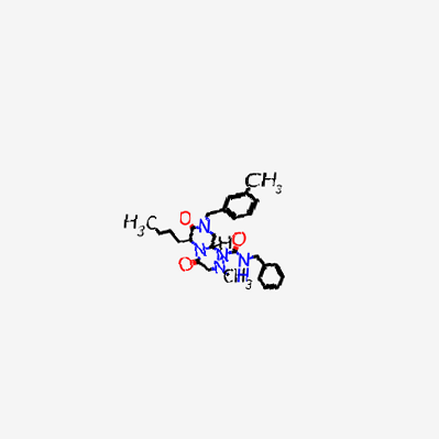 CCCC[C@H]1C(=O)N(Cc2cccc(C)c2)C[C@H]2N1C(=O)CN(C)N2C(=O)NCc1ccccc1